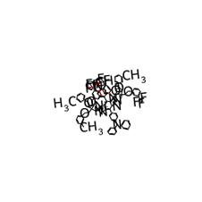 Cc1cccc(OCC(COc2cccc(C(F)(F)F)c2)(COc2cccc(C(F)(F)F)c2)Cn2nc3c(-c4ccc(N(c5ccccc5)c5ccccc5)cc4)c4n[n+](CC(COc5cccc(C)c5)(COc5cccc(C)c5)COc5cccc(C(F)(F)F)c5)[n-]c4c(-c4ccc(N(C)c5ccccc5)cc4)c3n2)c1